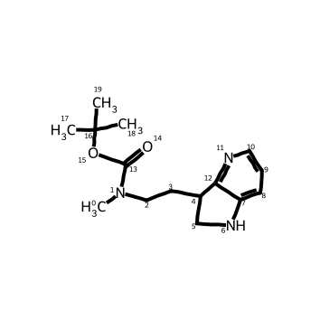 CN(CCC1CNc2cccnc21)C(=O)OC(C)(C)C